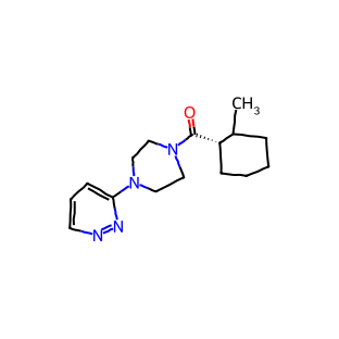 CC1CCCC[C@@H]1C(=O)N1CCN(c2cccnn2)CC1